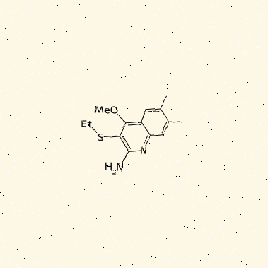 CCSc1c(N)nc2cc(C)c(C)cc2c1OC